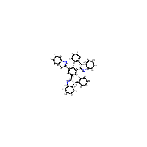 c1ccc(C2C(c3cc(C4=Nc5ccccc5C4)cc(C4=Nc5ccccc5C4c4ccccc4)c3)=Nc3ccccc32)cc1